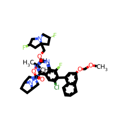 COCOc1cc(-c2c(Cl)cc3c(N4CC5CCC(C4)N5C(=O)OC(C)(C)C)nc(OCC45CC(F)CN4C[C@H](F)C5)nc3c2F)c2ccccc2c1